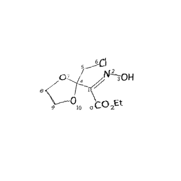 CCOC(=O)C(=NO)C1(CCl)OCCO1